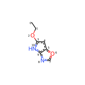 CCOc1cc2ocnc2[nH]1